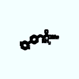 COC(=O)[C@@H](N)Cc1ccc(-c2cnccn2)cc1